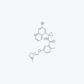 Cc1ccc(OC[C@@H]2CCN2C)cc1C(=O)NC1(c2cc(Br)cc3ncccc23)CC1